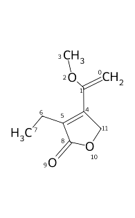 C=C(OC)C1=C(CC)C(=O)OC1